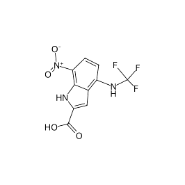 O=C(O)c1cc2c(NC(F)(F)F)ccc([N+](=O)[O-])c2[nH]1